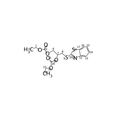 CCOC(=O)OCC(CSc1nc2ccccc2s1)OC(=O)OCC